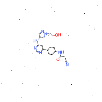 N#CCC(=O)Nc1ccc(-c2cc(Nc3cnn(CCO)c3)ncn2)cc1